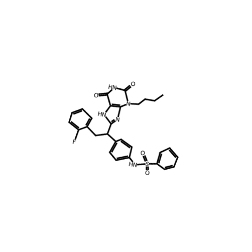 CCCCn1c(=O)[nH]c(=O)c2[nH]c(C(Cc3ccccc3F)c3ccc(NS(=O)(=O)c4ccccc4)cc3)nc21